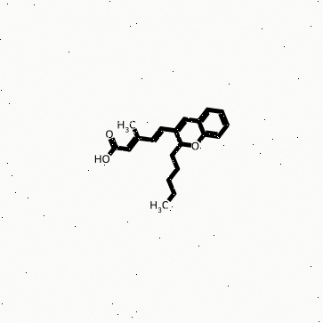 CCCCCC1Oc2ccccc2C=C1/C=C/C(C)=C/C(=O)O